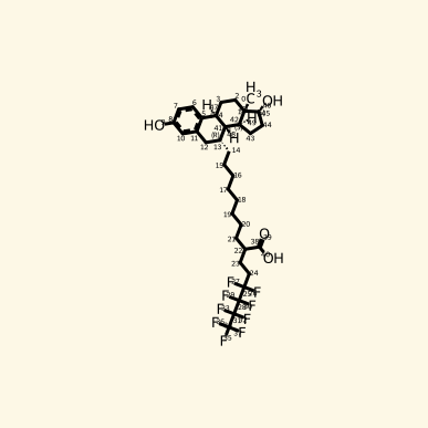 C[C@]12CC[C@@H]3c4ccc(O)cc4C[C@@H](CCCCCCCCC(CCC(F)(F)C(F)(F)C(F)(F)C(F)(F)F)C(=O)O)[C@H]3[C@@H]1CC[C@@H]2O